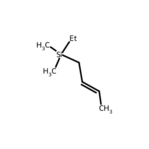 CC=CC[Si](C)(C)CC